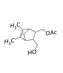 CC(=O)OCC1C2CC(C(C)=C2C)C1CO